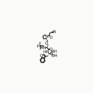 N#CCC(=O)N1CCC[C@@H]1COC[C@H](NCC(F)(F)F)C(=O)N[C@@H](Cc1coc2ccccc12)B(O)O